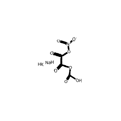 O=C(O)OC(=O)C(=O)O[N+](=O)[O-].[KH].[NaH]